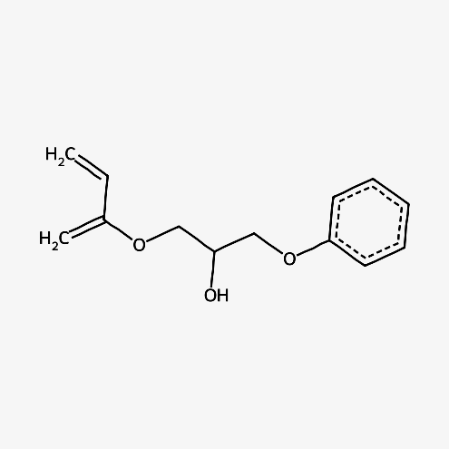 C=CC(=C)OCC(O)COc1ccccc1